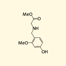 COC(=O)CNCc1ccc(O)cc1OC